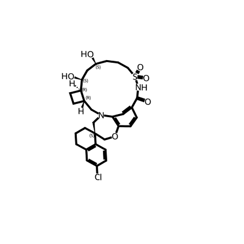 O=C1NS(=O)(=O)CCC[C@H](O)C[C@H](O)[C@@H]2CC[C@H]2CN2C[C@@]3(CCCc4cc(Cl)ccc43)COc3ccc1cc32